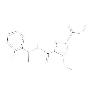 COC(=O)c1cc(C(=O)NC(C)c2ccccc2O)c(SC)s1